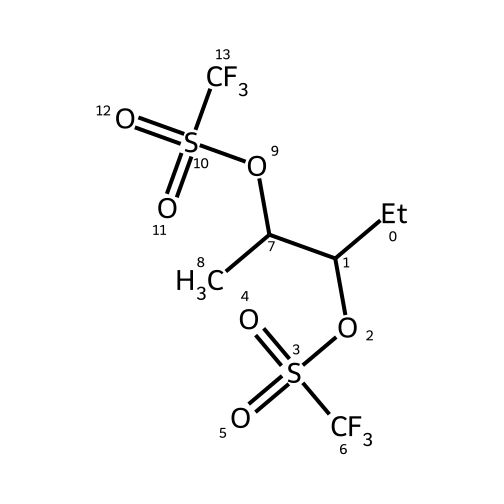 CCC(OS(=O)(=O)C(F)(F)F)C(C)OS(=O)(=O)C(F)(F)F